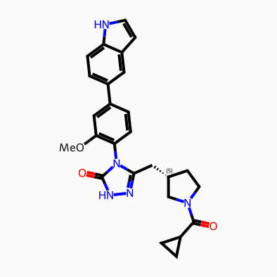 COc1cc(-c2ccc3[nH]ccc3c2)ccc1-n1c(C[C@@H]2CCN(C(=O)C3CC3)C2)n[nH]c1=O